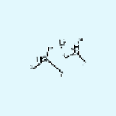 C[SiH](C)C.C[SiH](C)C.[Li]